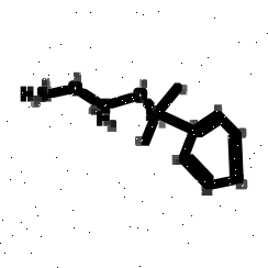 C[Si](C)(O[SiH2]O[SiH3])c1ccccc1